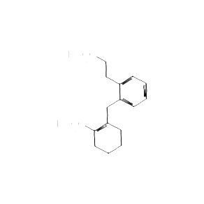 O=C(O)CCc1ccccc1CC1=C(C(=O)O)CCCC1